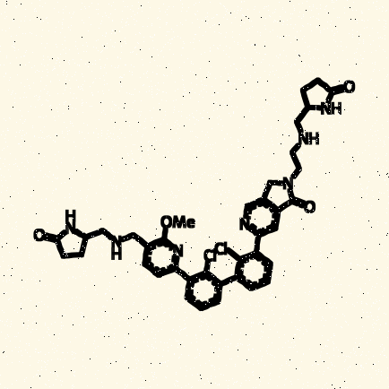 COc1nc(-c2cccc(-c3cccc(-c4cc5c(cn4)CN(CCNCC4CCC(=O)N4)C5=O)c3Cl)c2Cl)ccc1CNCC1CCC(=O)N1